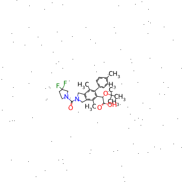 Cc1ccc(-c2c(C)c3c(c(C)c2C(OC(C)(C)C)C(=O)O)CN(C(=O)N2CCC(F)(F)C2)C3)cc1